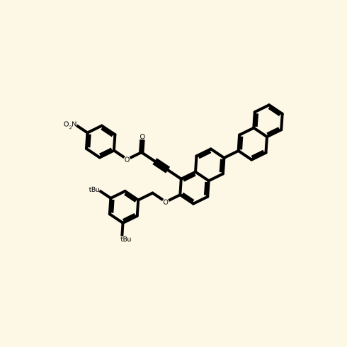 CC(C)(C)c1cc(COc2ccc3cc(-c4ccc5ccccc5c4)ccc3c2C#CC(=O)Oc2ccc([N+](=O)[O-])cc2)cc(C(C)(C)C)c1